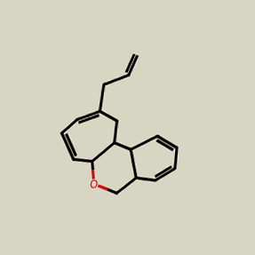 C=CCC1=CC=CC2OCC3C=CC=CC3C2C1